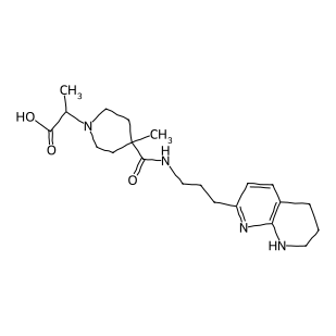 CC(C(=O)O)N1CCC(C)(C(=O)NCCCc2ccc3c(n2)NCCC3)CC1